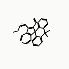 C=CC1=C(/C=C\C)C2(C(C=C)=C1/C=C\CC)c1ccccc1C(C)(C)c1ccccc12